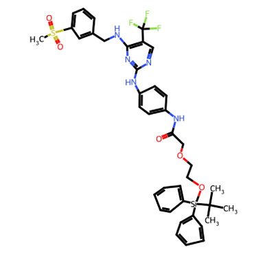 CC(C)(C)[Si](OCCOCC(=O)Nc1ccc(Nc2ncc(C(F)(F)F)c(NCc3cccc(S(C)(=O)=O)c3)n2)cc1)(c1ccccc1)c1ccccc1